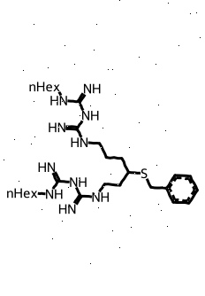 CCCCCCNC(=N)NC(=N)NCCCC(CCNC(=N)NC(=N)NCCCCCC)SCc1ccccc1